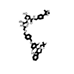 Cc1ncsc1-c1ccc(CNC(=O)[C@@H]2C[C@@H](O)CN2C(=O)C(NC(=O)COCc2ccc(COc3cc(F)c([C@@H]4c5[nH]c6ccccc6c5C[C@@H](C)N4CC(C)(C)F)c(F)c3)cc2)C(C)(C)C)cc1